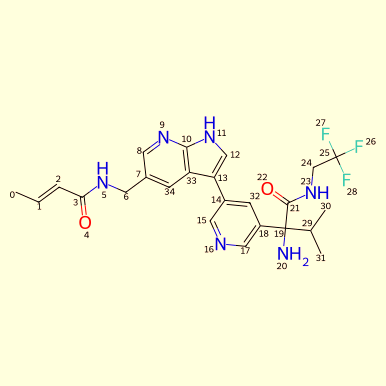 C/C=C/C(=O)NCc1cnc2[nH]cc(-c3cncc(C(N)(C(=O)NCC(F)(F)F)C(C)C)c3)c2c1